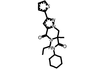 CCCN1C(=O)c2cc(-c3cccs3)nn2CC1(C)C(=O)NC1CCCCC1